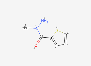 CC(C)(C)N(N)C(=O)c1cccs1